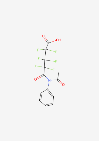 CC(=O)N(C(=O)C(F)(F)C(F)(F)C(F)(F)C(=O)O)c1ccccc1